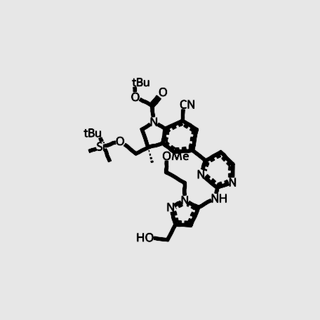 COCCn1nc(CO)cc1Nc1nccc(-c2cc(C#N)c3c(c2)[C@@](C)(CO[Si](C)(C)C(C)(C)C)CN3C(=O)OC(C)(C)C)n1